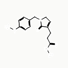 COc1ccc(CN2CC=C(CCC(=O)NO)C2=O)cc1